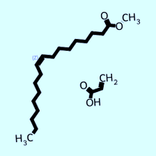 C=CC(=O)O.CCCCCCCC/C=C\CCCCCCCC(=O)OC